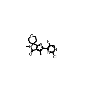 Cc1c(-c2nc(Cl)ncc2F)sc2c1C(=O)N(C)C21CCOCC1